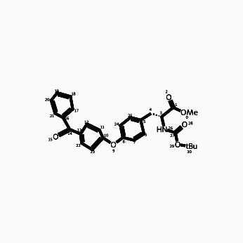 COC(=O)[C@@H](Cc1ccc(Oc2ccc(C(=O)c3ccccc3)cc2)cc1)NC(=O)OC(C)(C)C